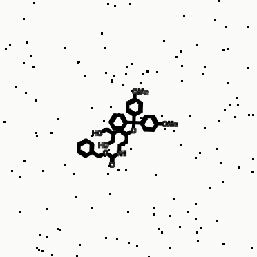 COc1ccc(C(OC(CCNC(=O)OCc2ccccc2)=NC(CO)CO)(c2ccccc2)c2ccc(OC)cc2)cc1